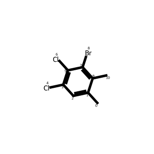 Cc1cc(Cl)c(Cl)c(Br)c1C